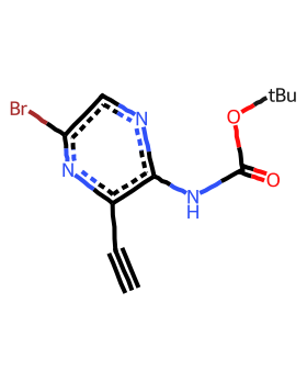 C#Cc1nc(Br)cnc1NC(=O)OC(C)(C)C